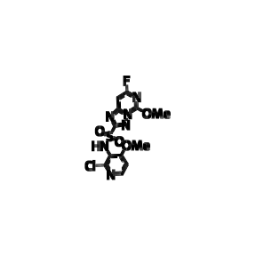 COc1ccnc(Cl)c1NS(=O)(=O)c1nc2cc(F)nc(OC)n2n1